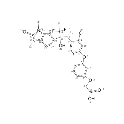 C[C@H](c1ccc(Oc2cccc(OCC(=O)O)c2)cc1Cl)[C@@](O)(c1ccc2c(c1)n(C)c(=O)n2C)C(C)(F)F